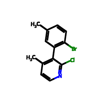 Cc1ccc(Br)c(-c2c(C)ccnc2Cl)c1